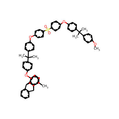 COc1ccc(C(C)(C)c2ccc(Oc3ccc(S(=O)(=O)c4ccc(Oc5ccc(C(C)(C)c6ccc(Oc7ccc(C)c8c7C7c9ccccc9C8c8ccccc87)cc6)cc5)cc4)cc3)cc2)cc1